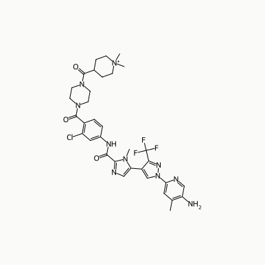 Cc1cc(-n2cc(-c3cnc(C(=O)Nc4ccc(C(=O)N5CCN(C(=O)C6CC[N+](C)(C)CC6)CC5)c(Cl)c4)n3C)c(C(F)(F)F)n2)ncc1N